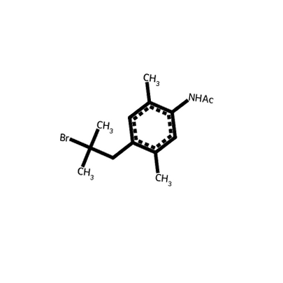 CC(=O)Nc1cc(C)c(CC(C)(C)Br)cc1C